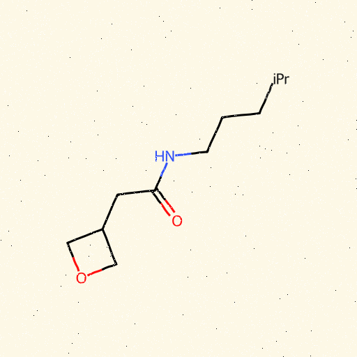 CC(C)CCCNC(=O)CC1COC1